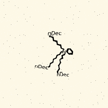 CCCCCCCCCCCCCCCCCC[N+](CCCCCCCCCCCCCCCCCC)(CCCCCCCCCCCCCCCCCC)c1ccccc1